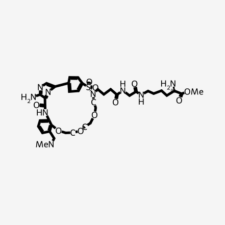 CNCc1cccc2c1OCCOCCOCCN(CCCC(=O)NCC(=O)NCCCC[C@@H](N)C(=O)OC)S(=O)(=O)c1ccc(cc1)-c1cnc(N)c(n1)C(=O)N2